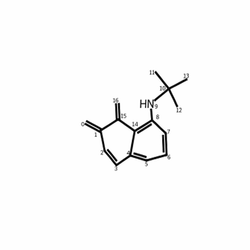 C=c1ccc2cccc(NC(C)(C)C)c2c1=C